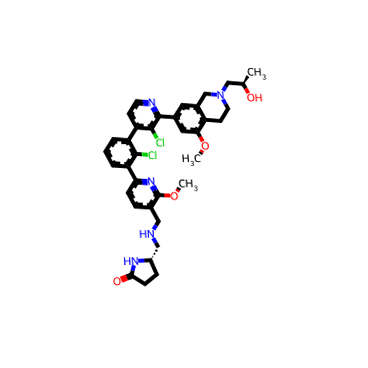 COc1cc(-c2nccc(-c3cccc(-c4ccc(CNC[C@@H]5CCC(=O)N5)c(OC)n4)c3Cl)c2Cl)cc2c1CCN(C[C@@H](C)O)C2